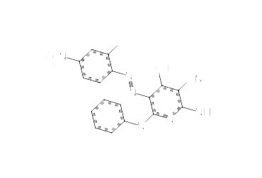 Cc1c(C#N)c(N)nc(Nc2ccccc2)c1/N=N/c1ccc([N+](=O)[O-])cc1F